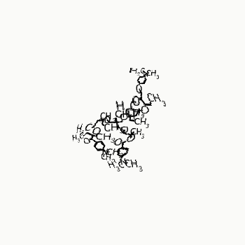 CCCC(C)(OC(C)C[C@](C)(CC)OCC(CC)(COCC(C)OC(=O)c1ccc(N(C)C)cc1)COC(C)(CC)CC(C)OC(CC)C(=O)COc1ccc(N(C)C)cc1)C(=O)c1ccc(N(C)C)cc1